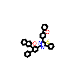 C1=Cc2oc3cc(-c4nc(-c5ccc(-c6ccccc6)c6c5oc5cc7ccccc7cc56)nc5c4sc4ccccc45)ccc3c2CC1